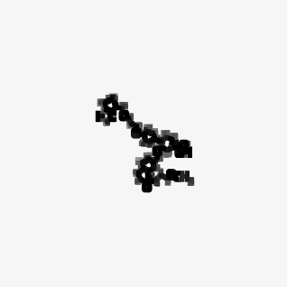 COCCCN1C(=O)CCc2ccc(COC3CN(C(=O)O)CCC3c3ccc(OCCCOCc4ccccc4C)cc3)cc21